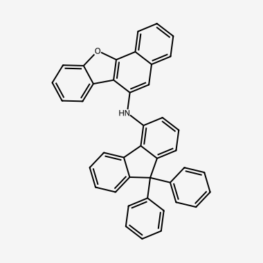 c1ccc(C2(c3ccccc3)c3ccccc3-c3c(Nc4cc5ccccc5c5oc6ccccc6c45)cccc32)cc1